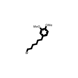 COc1ccc(CCCCCCBr)cc1OC